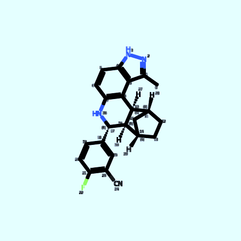 Cc1n[nH]c2ccc3c(c12)[C@H]1[C@@H]2CC[C@@H](C2)[C@H]1[C@H](c1ccc(F)c(C#N)c1)N3